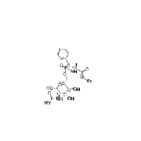 CCCC(=O)N[C@H]1C(O)O[C@H](COP(=O)(N[C@@H](C)C(=O)OC(C)C)Oc2ccccc2)[C@@H](O)[C@@H]1O